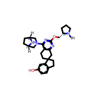 CC(C)N1CCC[C@H]1COc1nc2c(c(N3C[C@H]4CC[C@@H](C3)N4)n1)CCC1(CCc3ccc(O)cc31)C2